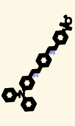 CO[Si](C)(C)c1ccc(/C=C/c2ccc(/C=C/c3ccc(N(c4ccccc4)c4ccccc4)cc3)cc2)cc1